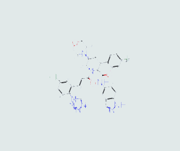 O=C(Nc1ccc2[nH]ncc2c1)C1C(c2ccc(F)cc2)CC(N2CCOCC2)CN1C(=O)/C=C/c1cc(Cl)ccc1-n1cnnn1